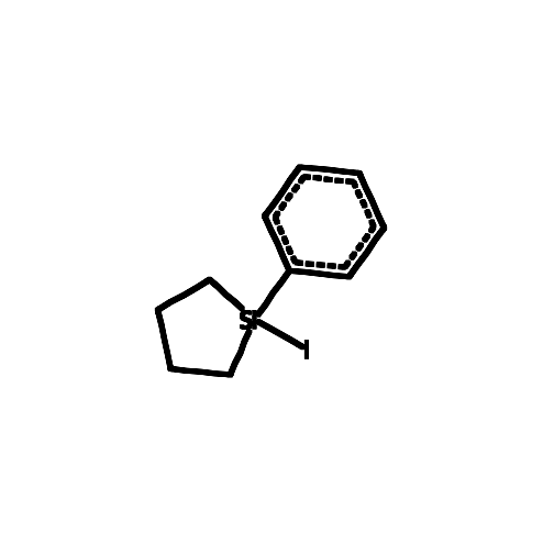 I[Si]1(c2ccccc2)CCCC1